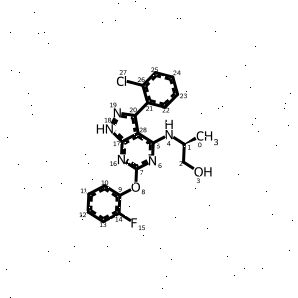 C[C@@H](CO)Nc1nc(Oc2ccccc2F)nc2[nH]nc(-c3ccccc3Cl)c12